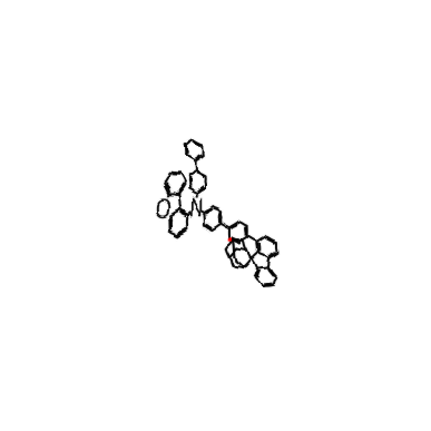 c1ccc(-c2ccc(N(c3ccc(-c4ccc(-c5cccc6c5C5(c7ccccc7-6)C6CC7CC(C6)CC5C7)cc4)cc3)c3cccc4oc5ccccc5c34)cc2)cc1